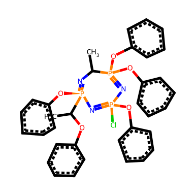 CC1N=[P@@](Oc2ccccc2)(C(C)Oc2ccccc2)N=P(Cl)(Oc2ccccc2)N=P1(Oc1ccccc1)Oc1ccccc1